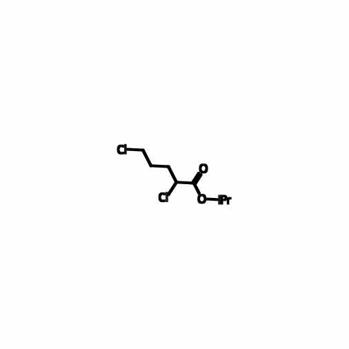 CC(C)OC(=O)C(Cl)CCCCl